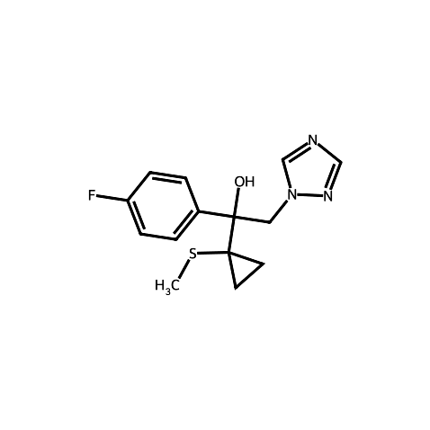 CSC1(C(O)(Cn2cncn2)c2ccc(F)cc2)CC1